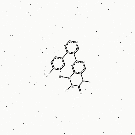 CC[C@@H]1C(=O)N(C)c2cnc(-c3cncnc3-c3ccc(C(F)(F)F)cc3)nc2N1C(C)C